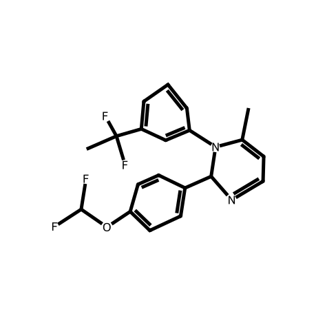 CC1=CC=NC(c2ccc(OC(F)F)cc2)N1c1cccc(C(C)(F)F)c1